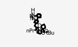 CCCc1c(Cc2ccc(-c3ccccc3-c3nnn[nH]3)cc2)c(=O)n2n1CCCC2C1(C(=O)OC(C)(C)C)CCCCC1